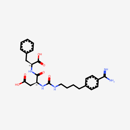 N=C(N)c1ccc(CCCCNC(=O)N[C@@H](CC(=O)O)C(=O)N[C@@H](Cc2ccccc2)C(=O)O)cc1